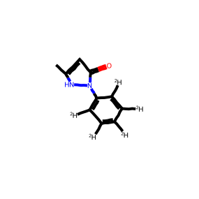 [2H]c1c([2H])c([2H])c(-n2[nH]c(C)cc2=O)c([2H])c1[2H]